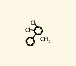 C.Clc1cccc(-c2ccccc2)c1Cl